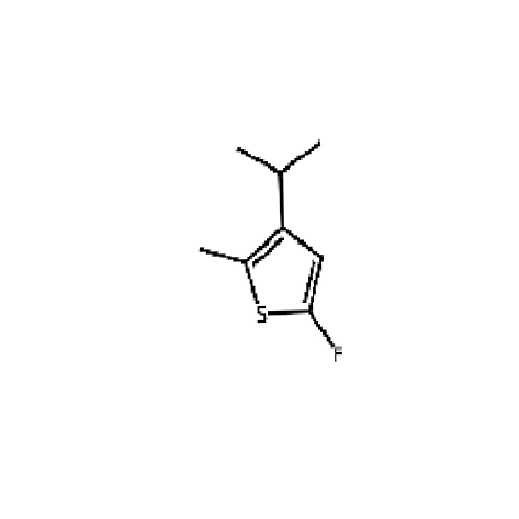 Cc1sc(F)cc1C(C)C